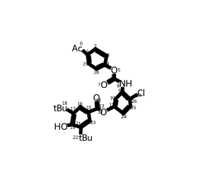 CC(=O)c1ccc(OC(=O)Nc2cc(OC(=O)c3cc(C(C)(C)C)c(O)c(C(C)(C)C)c3)ccc2Cl)cc1